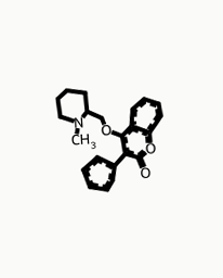 CN1CCCCC1COc1c(-c2ccccc2)c(=O)oc2ccccc12